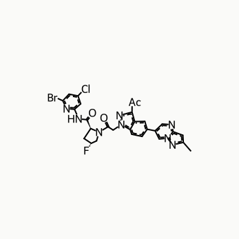 CC(=O)c1nn(CC(=O)N2C[C@H](F)C[C@H]2C(=O)Nc2cc(Cl)cc(Br)n2)c2ccc(-c3cnc4cc(C)nn4c3)cc12